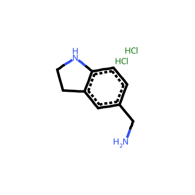 Cl.Cl.NCc1ccc2c(c1)CCN2